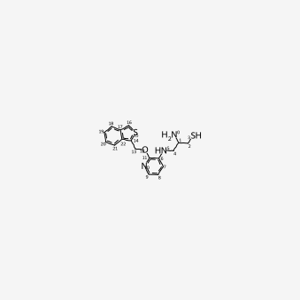 NC(CS)CNc1cccnc1OCc1scc2ccccc12